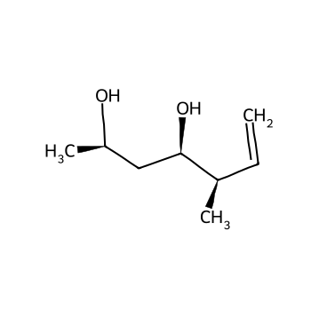 C=C[C@@H](C)[C@H](O)C[C@@H](C)O